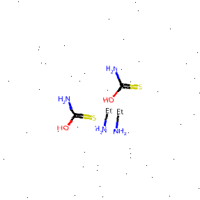 CCN.CCN.NC(O)=S.NC(O)=S